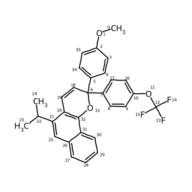 COc1ccc(C2(c3ccc(OC(F)(F)F)cc3)C=Cc3c(C(C)C)cc4ccccc4c3O2)cc1